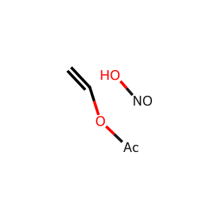 C=COC(C)=O.O=NO